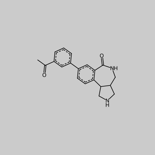 CC(=O)c1cccc(-c2ccc3c(c2)C(=O)NCC2CNCC32)c1